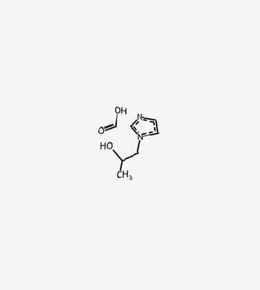 CC(O)Cn1ccnc1.O=CO